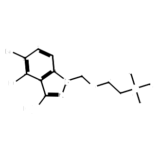 CCc1c(Br)ccc2c1c(C(=O)O)nn2COCC[Si](C)(C)C